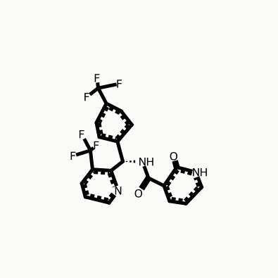 O=C(N[C@@H](c1ccc(C(F)(F)F)cc1)c1ncccc1C(F)(F)F)c1ccc[nH]c1=O